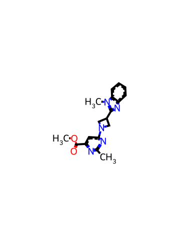 COC(=O)c1cc(N2CC(c3nc4ccccc4n3C)C2)nc(C)n1